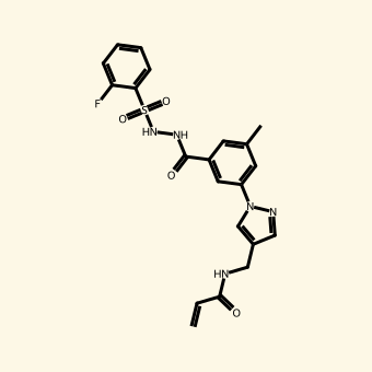 C=CC(=O)NCc1cnn(-c2cc(C)cc(C(=O)NNS(=O)(=O)c3ccccc3F)c2)c1